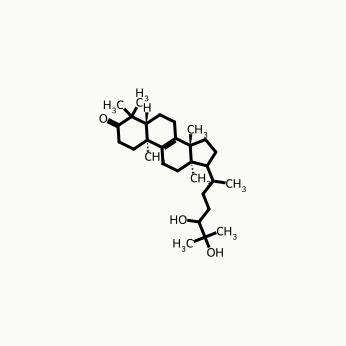 CC(CCC(O)C(C)(C)O)C1CC[C@@]2(C)C3=C(CC[C@]12C)[C@@]1(C)CCC(=O)C(C)(C)[C@@H]1CC3